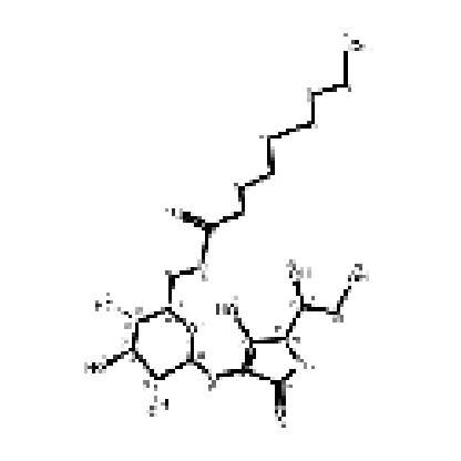 CCCCCCCCCCCCCCCCCC(=O)OC[C@H]1OC(OC2=C(O)[C@@H]([C@@H](O)CO)OC2=O)[C@H](O)[C@@H](O)[C@@H]1O